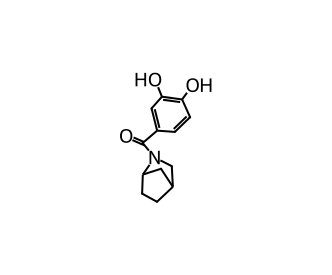 O=C(c1ccc(O)c(O)c1)N1CC2CCC1C2